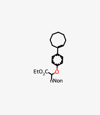 CCCCCCCCCC(Oc1ccc(/C2=C/CCCCCC2)cc1)C(=O)OCC